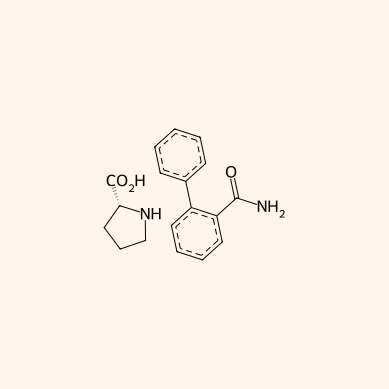 NC(=O)c1ccccc1-c1ccccc1.O=C(O)[C@H]1CCCN1